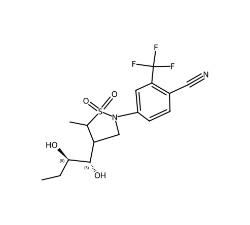 CC[C@@H](O)[C@@H](O)C1CN(c2ccc(C#N)c(C(F)(F)F)c2)S(=O)(=O)C1C